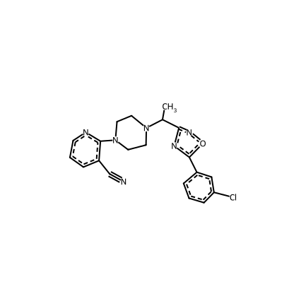 CC(c1noc(-c2cccc(Cl)c2)n1)N1CCN(c2ncccc2C#N)CC1